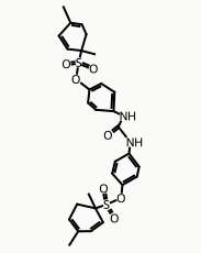 CC1=CCC(C)(S(=O)(=O)Oc2ccc(NC(=O)Nc3ccc(OS(=O)(=O)C4(C)C=CC(C)=CC4)cc3)cc2)C=C1